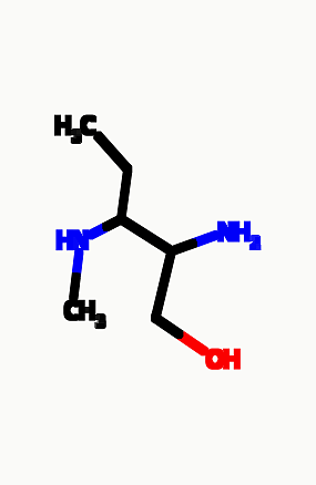 CCC(NC)C(N)CO